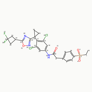 CCS(=O)(=O)c1ccc(CC(=O)Nc2cc(Cl)c(C3(c4noc(C5CC(F)(F)C5)n4)CC3)c(Cl)c2)cc1